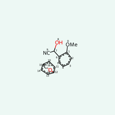 COc1ccccc1C(O)C#N.c1cc2ccc1CO2